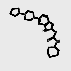 O=C(NC1CCCCC1)Oc1cc2ccc(N3CCN(C4CCCC4)CC3)nc2[nH]1